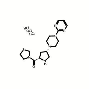 Cl.Cl.Cl.O=C([C@@H]1C[C@H](N2CCN(c3ncccn3)CC2)CN1)N1CCSC1